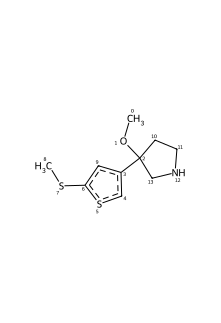 COC1(c2csc(SC)c2)CCNC1